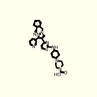 N#Cc1ccccc1Cn1cc(-c2ccnc(Nc3ccc(N4CCN(C(=O)O)CC4)cc3)n2)c(-c2cccnc2)n1